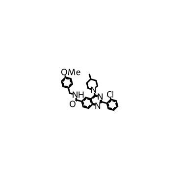 COc1ccc(CNC(=O)c2ccc3nc(-c4ccccc4Cl)nc(N4CCC(C)CC4)c3c2)cc1